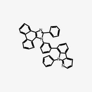 c1ccc(-c2nc3c4ccccc4c4ccccc4c3n2-c2cccc(-c3cccc4c5cccnc5n(-c5ccccc5)c34)c2)cc1